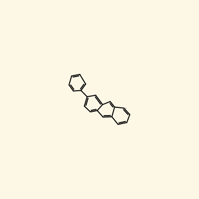 [c]1cccc2cc3ccc(-c4ccccc4)cc3cc12